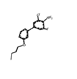 CCCCOc1cccc(-c2cc(F)c(N)c(Cl)c2)c1